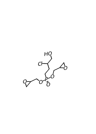 O=P(CCC(Cl)CO)(OCC1CO1)OCC1CO1